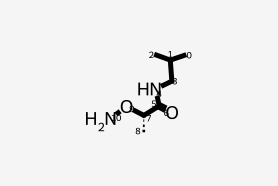 CC(C)CNC(=O)[C@H](C)ON